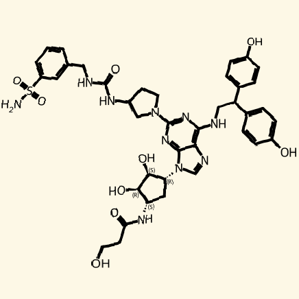 NS(=O)(=O)c1cccc(CNC(=O)NC2CCN(c3nc(NCC(c4ccc(O)cc4)c4ccc(O)cc4)c4ncn([C@@H]5C[C@H](NC(=O)CCO)[C@@H](O)[C@H]5O)c4n3)C2)c1